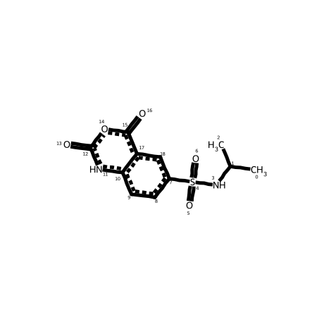 CC(C)NS(=O)(=O)c1ccc2[nH]c(=O)oc(=O)c2c1